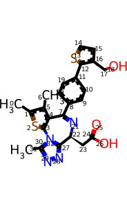 Cc1sc2c(c1C)C(c1ccc(-c3sccc3CO)cc1)=N[C@@H](CC(=O)O)c1nnc(C)n1-2